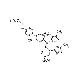 COC(=O)C[C@@H]1N=C(c2ccc(-c3ccc(OCC(=O)O)cc3C#N)cc2)c2c(sc(C)c2C)-n2c(C)nnc21